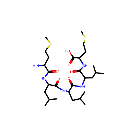 CSCCC(N)C(=O)NC(CC(C)C)C(=O)NC(CC(C)C)C(=O)NC(CC(C)C)C(=O)NC(CCSC)C(=O)O